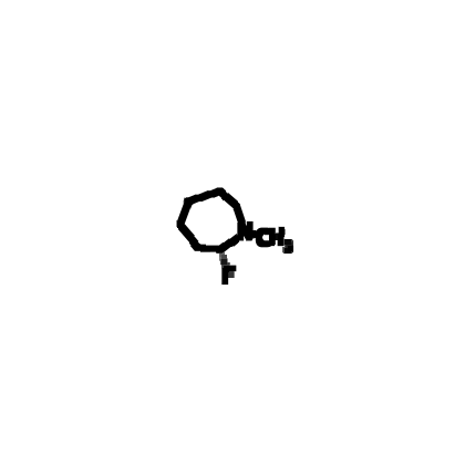 CN1CCCCC[C@H]1F